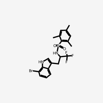 Cc1cc(C)c(S(=O)(=O)NC(Cc2c[nH]c3c(Br)cccc23)C(F)(F)F)c(C)c1